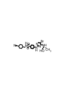 CC[C@H](CO)Nc1nc(Nc2ccc(S(=O)(=O)NCC3CCC(C#N)CC3)cc2)ncc1Br